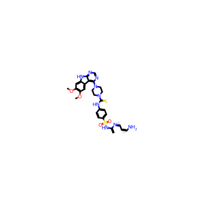 C=C(/N=C\C=C/N)NS(=O)(=O)c1ccc(NC(=S)N2CCN(c3ncnc4[nH]c5cc(OC)c(OC)cc5c34)CC2)cc1